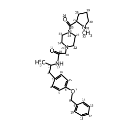 CC(Cc1ccc(OCc2ccccc2)cc1)NC(=O)CN1CCN(C(=O)C2CCCN2C)CC1